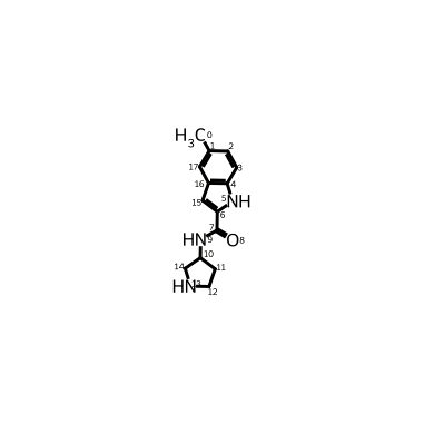 Cc1ccc2[nH]c(C(=O)NC3CCNC3)cc2c1